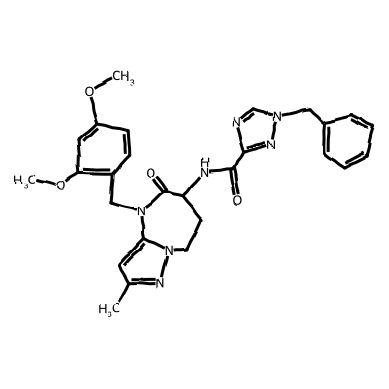 COc1ccc(CN2C(=O)C(NC(=O)c3ncn(Cc4ccccc4)n3)CCn3nc(C)cc32)c(OC)c1